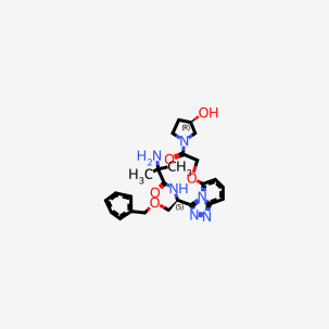 CC(C)(N)C(=O)N[C@H](COCc1ccccc1)c1nnc2cccc(OCC(=O)N3CC[C@@H](O)C3)n12